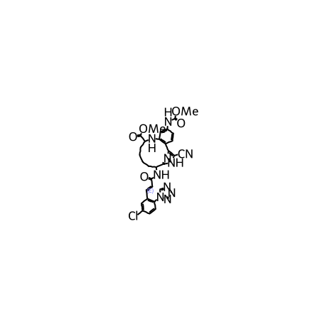 COC(=O)Nc1ccc2c(c1)NC(C(=O)OC)CCCCC(NC(=O)/C=C/c1cc(Cl)ccc1-n1cnnn1)c1nc-2c(C#N)[nH]1